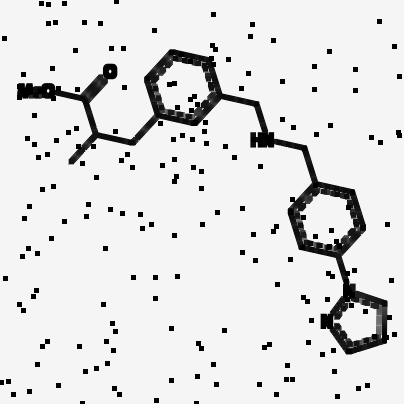 COC(=O)C(C)Cc1cccc(CNCc2ccc(-n3cccn3)cc2)c1